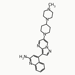 CN1CCN(C2CCN(c3cnc4c(-c5cc(N)nc6ccccc56)cnn4c3)CC2)CC1